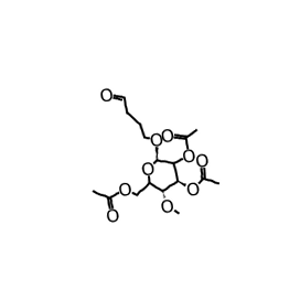 CO[C@@H]1C(COC(C)=O)O[C@@H](OCCCC=O)C(OC(C)=O)[C@H]1OC(C)=O